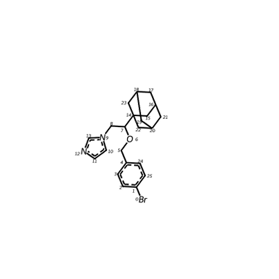 Brc1ccc(COC(Cn2ccnc2)C23CC4CC(CC(C4)C2)C3)cc1